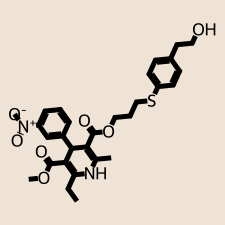 CCC1=C(C(=O)OC)C(c2cccc([N+](=O)[O-])c2)C(C(=O)OCCCSc2ccc(CCO)cc2)=C(C)N1